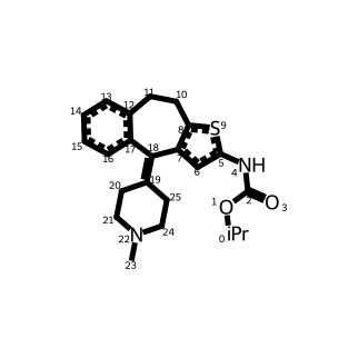 CC(C)OC(=O)Nc1cc2c(s1)CCc1ccccc1C2=C1CCN(C)CC1